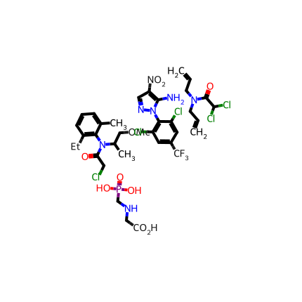 C=CCN(CC=C)C(=O)C(Cl)Cl.CCc1cccc(C)c1N(C(=O)CCl)C(C)COC.Nc1c([N+](=O)[O-])cnn1-c1c(Cl)cc(C(F)(F)F)cc1Cl.O=C(O)CNCP(=O)(O)O